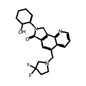 O=C1c2cc(CN3CCC(F)(F)C3)c3cccnc3c2CN1C1CCCCC1O